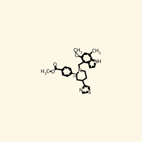 COC(=O)c1ccc([C@@H]2CC(c3cscn3)CCN2Cc2c(OC)cc(C)c3[nH]ccc23)cc1